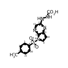 Cc1ccc(S(=O)(=O)n2ccc3nc(NNC(=O)O)cnc32)cc1